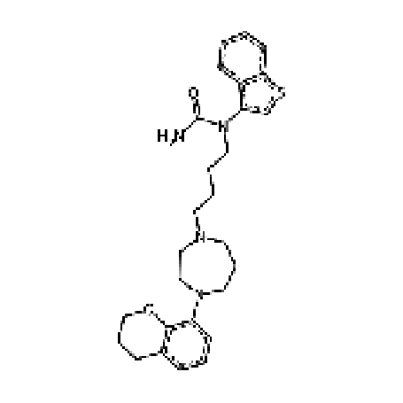 NC(=O)N(CCCCN1CCCN(c2cccc3c2OCCC3)CC1)c1csc2ccccc12